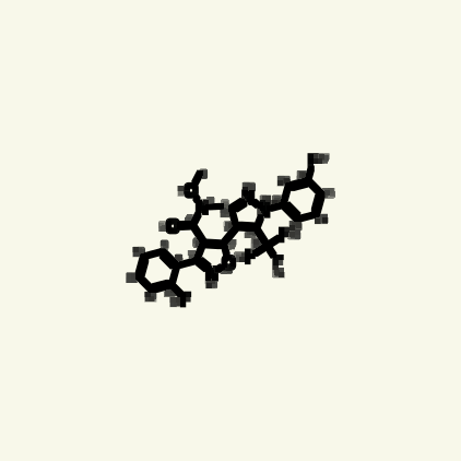 CON(C)C(=O)c1c(-c2ccccc2F)noc1-c1cnn(-c2cccc(F)c2)c1C(F)(F)F